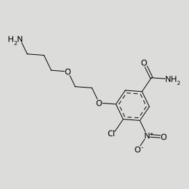 NCCCOCCOc1cc(C(N)=O)cc([N+](=O)[O-])c1Cl